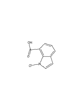 O=C(O)c1cccc2ccn(Cl)c12